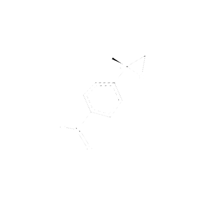 C[C@@]1(c2ccc([N+](=O)[O-])cc2)CO1